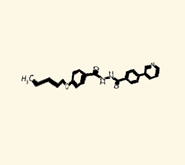 CCCCCOc1ccc(C(=O)NNC(=O)c2ccc(-c3cccnc3)cc2)cc1